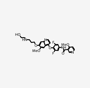 COc1cc2c(Oc3c(F)cc(NC(=O)c4cnccc4OC)cc3F)ccnc2cc1OCCCNCCO